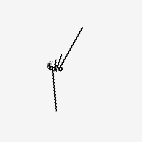 CCCCCCCCCCCCCCCCCCCCCCCCC=CCCc1ccccc1C1=C(CCCC)C(CCCCCCCC)=C(c2ccccc2CCC=CCCCCCCCCCCCCCCCCCCCCCCCC)[N+]1=[N-].[Cl][Ni][Cl]